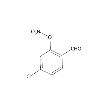 O=Cc1ccc(Cl)cc1O[N+](=O)[O-]